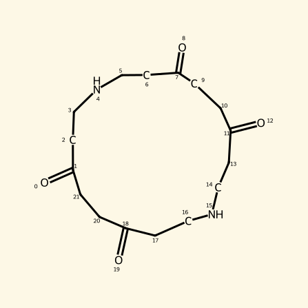 O=C1CCNCCC(=O)CCC(=O)CCNCCC(=O)CC1